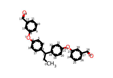 CCC(c1ccc(Oc2cccc(C=O)c2)cc1)c1ccc(Oc2cccc(C=O)c2)cc1